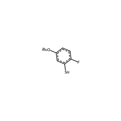 CC(C)COc1ccc(F)c(S)c1